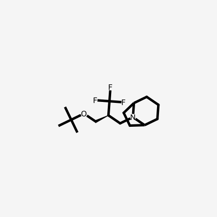 CC(C)(C)OC[C@H](CN1C2CCCC1CC2)C(F)(F)F